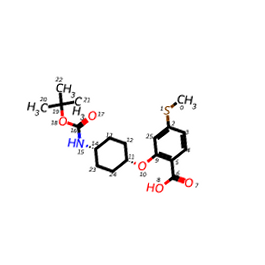 CSc1ccc(C(=O)O)c(O[C@H]2CC[C@@H](NC(=O)OC(C)(C)C)CC2)c1